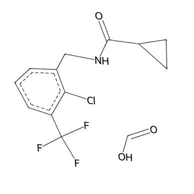 O=C(NCc1cccc(C(F)(F)F)c1Cl)C1CC1.O=CO